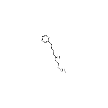 CCCCNCC/C=C/c1ccccc1